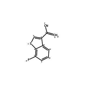 C=C(C#N)c1csc2c(F)cccc12